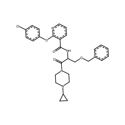 O=C(NC(COCc1ccccc1)C(=O)N1CCN(C2CC2)CC1)c1cccnc1Oc1ccc(Cl)cc1